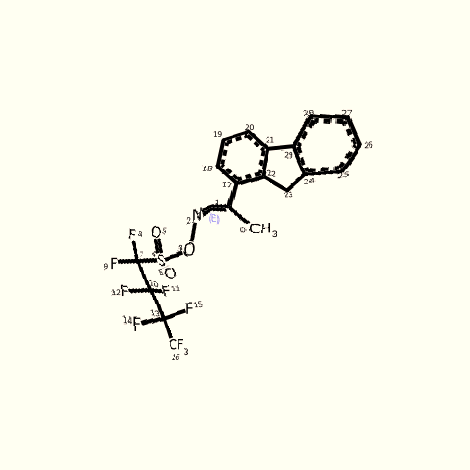 C/C(=N\OS(=O)(=O)C(F)(F)C(F)(F)C(F)(F)C(F)(F)F)c1cccc2c1Cc1ccccc1-2